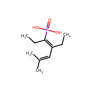 CCC(C=C(C)C)=C(CC)P(=O)(O)O